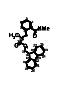 CNC(=O)c1ccccc1CN(C)C(=O)OCC1c2ccccc2-c2ccccc21